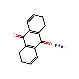 O=C1C2=C(CCC=C2)C(=O)C2=C1CCC=C2.[KH].[KH]